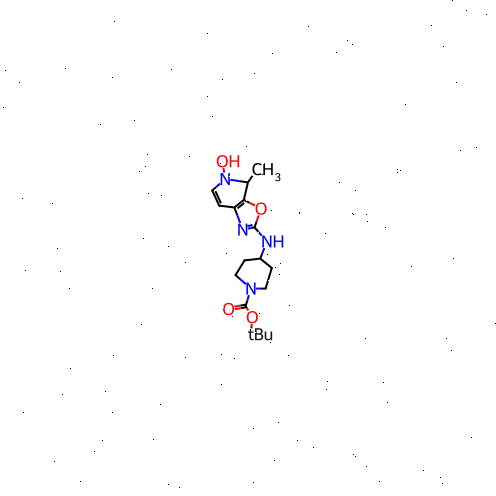 CC1c2oc(NC3CCN(C(=O)OC(C)(C)C)CC3)nc2C=CN1O